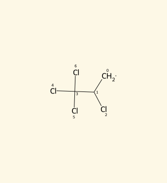 [CH2]C(Cl)C(Cl)(Cl)Cl